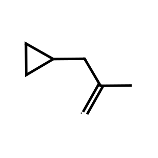 [CH]=C(C)CC1CC1